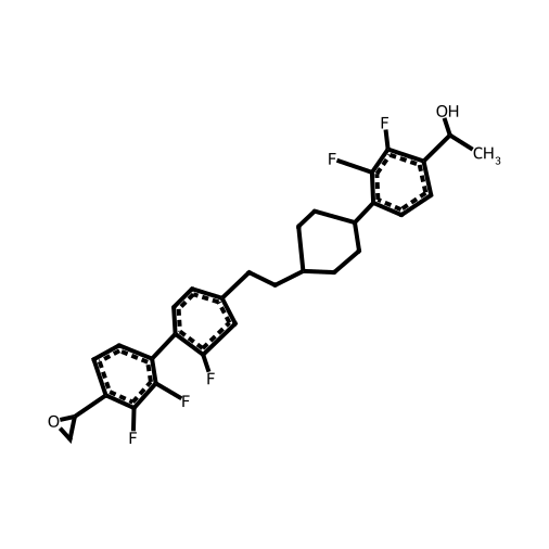 CC(O)c1ccc(C2CCC(CCc3ccc(-c4ccc(C5CO5)c(F)c4F)c(F)c3)CC2)c(F)c1F